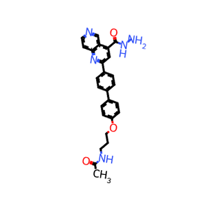 CC(=O)NCCCOc1ccc(-c2ccc(-c3cc(C(=O)NN)c4cnccc4n3)cc2)cc1